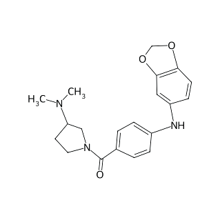 CN(C)C1CCN(C(=O)c2ccc(Nc3ccc4c(c3)OCO4)cc2)C1